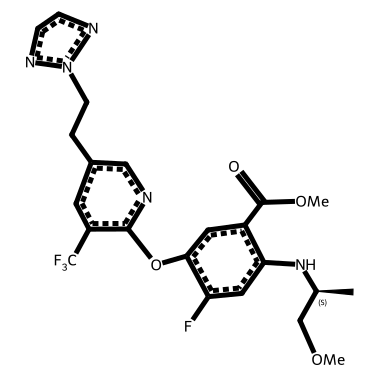 COC[C@H](C)Nc1cc(F)c(Oc2ncc(CCn3nccn3)cc2C(F)(F)F)cc1C(=O)OC